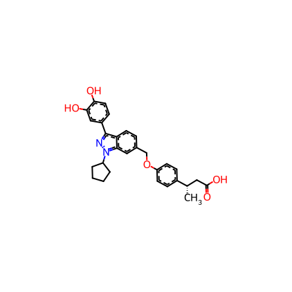 C[C@@H](CC(=O)O)c1ccc(OCc2ccc3c(-c4ccc(O)c(O)c4)nn(C4CCCC4)c3c2)cc1